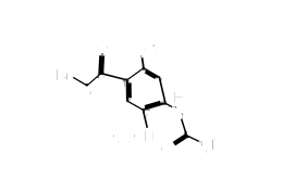 CC(=O)Oc1cc(NC(=O)C(F)(F)F)c(C(=O)O)cc1C(=O)CBr